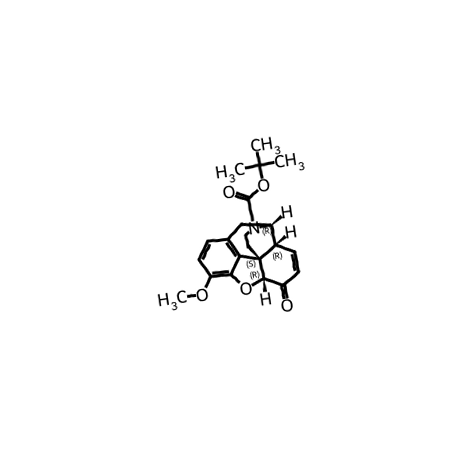 COc1ccc2c3c1O[C@H]1C(=O)C=C[C@H]4[C@@H](C2)N(C(=O)OC(C)(C)C)CC[C@]314